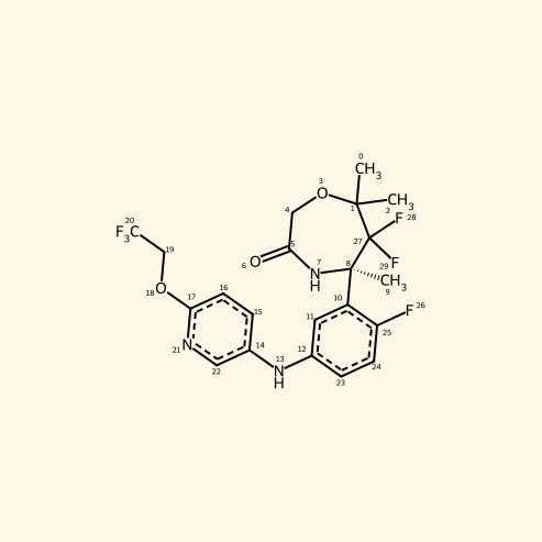 CC1(C)OCC(=O)N[C@](C)(c2cc(Nc3ccc(OCC(F)(F)F)nc3)ccc2F)C1(F)F